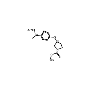 CC(=O)N[C@@H](C)c1ccc(O[C@H]2CCN(C(=O)OC(C)(C)C)C2)cc1